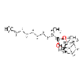 C=CCCCCCCC(C)B1OC2CC3CC(C3(C)C)C2(C)O1